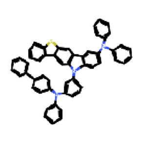 c1ccc(-c2ccc(N(c3ccccc3)c3cccc(-n4c5ccc(N(c6ccccc6)c6ccccc6)cc5c5cc6sc7ccccc7c6cc54)c3)cc2)cc1